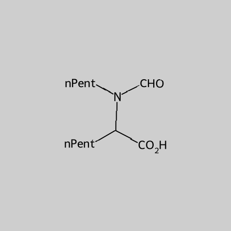 CCCCCC(C(=O)O)N(C=O)CCCCC